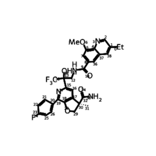 CCc1cnc2c(OC)cc(C(=O)NCC(O)(c3cc4c(c(-c5ccc(F)cc5)n3)OC[C@]4(C)C(N)=O)C(F)(F)F)cc2c1